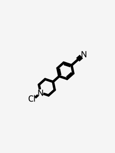 N#Cc1ccc(C2CCN(Cl)CC2)cc1